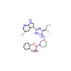 COc1ccccc1OC(=O)N1CCCC(CNC(/N=C(\N)c2c[nH]c3ncc(Cl)cc23)=C(\F)CI)C1